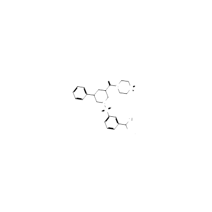 CC(N)c1cccc(S(=O)(=O)N2CC(C(=O)N3CCS(=O)(=O)CC3)CC(c3ccccc3)C2)c1